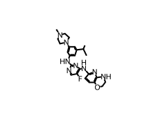 CC(C)c1cc(Nc2ncc(F)c(Nc3ccc4c(n3)NCCO4)n2)cc(N2CCN(C)CC2)c1